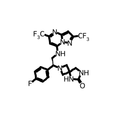 O=C1NCC2(CN([C@H](CNc3cc(C(F)(F)F)nc4cc(C(F)(F)F)nn34)c3ccc(F)cc3)C2)N1